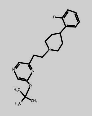 CC(C)(C)Oc1cncc(CCN2CCC(c3ccccc3F)CC2)n1